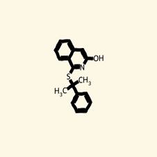 CC(C)(Sc1nc(O)cc2ccccc12)c1ccccc1